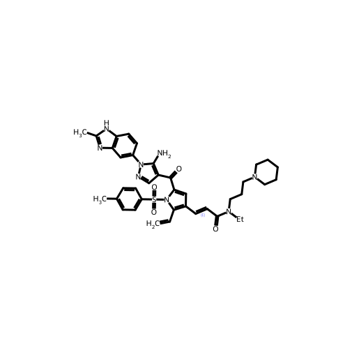 C=Cc1c(/C=C/C(=O)N(CC)CCCN2CCCCC2)cc(C(=O)c2cnn(-c3ccc4[nH]c(C)nc4c3)c2N)n1S(=O)(=O)c1ccc(C)cc1